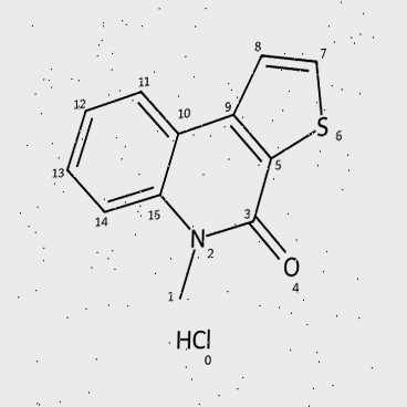 Cl.Cn1c(=O)c2sccc2c2ccccc21